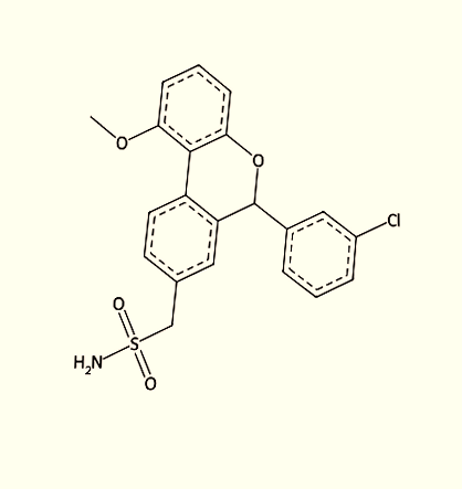 COc1cccc2c1-c1ccc(CS(N)(=O)=O)cc1C(c1cccc(Cl)c1)O2